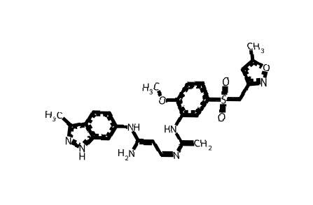 C=C(/N=C\C=C(/N)Nc1ccc2c(C)n[nH]c2c1)Nc1cc(S(=O)(=O)Cc2cc(C)on2)ccc1OC